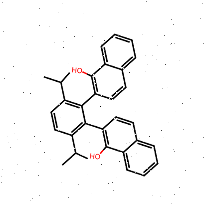 CC(C)c1ccc(C(C)C)c(-c2ccc3ccccc3c2O)c1-c1ccc2ccccc2c1O